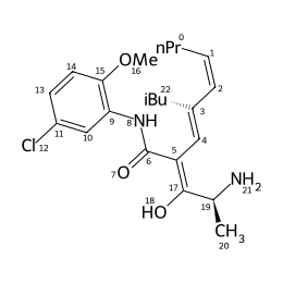 CCC\C=C/C(=C/C(C(=O)Nc1cc(Cl)ccc1OC)=C(/O)[C@H](C)N)[C@@H](C)CC